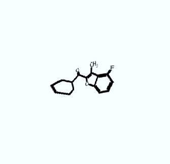 Cc1c(C(=O)C2CCCCC2)oc2cccc(F)c12